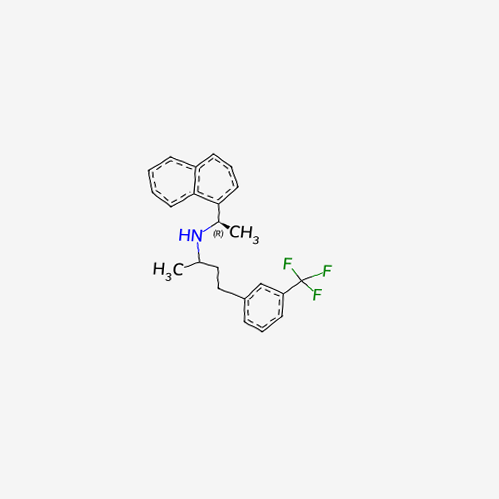 CC(CCc1cccc(C(F)(F)F)c1)N[C@H](C)c1cccc2ccccc12